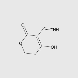 N=CC1=C(O)CCOC1=O